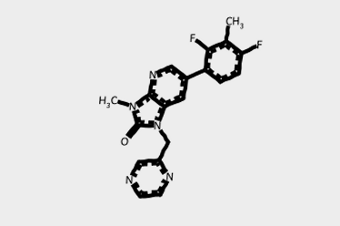 Cc1c(F)ccc(-c2cnc3c(c2)n(Cc2cnccn2)c(=O)n3C)c1F